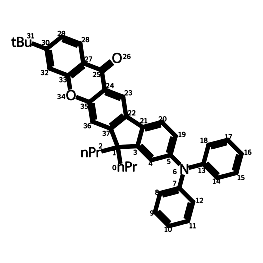 CCCC1(CCC)c2cc(N(c3ccccc3)c3ccccc3)ccc2-c2cc3c(=O)c4ccc(C(C)(C)C)cc4oc3cc21